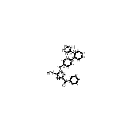 CCCc1nc(C(=O)c2ccccc2)nn1Cc1ccc(-c2ccccc2-c2nnn[nH]2)nc1